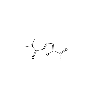 CC(=O)c1ccc(C(=O)N(C)C)o1